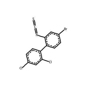 S=C=Nc1cc(Br)ccc1-c1ccc(Cl)cc1Cl